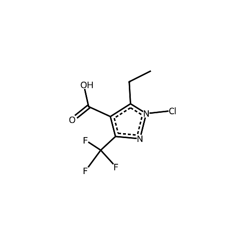 CCc1c(C(=O)O)c(C(F)(F)F)nn1Cl